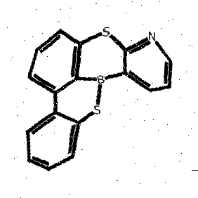 c1ccc2c(c1)SB1c3cccnc3Sc3cccc-2c31